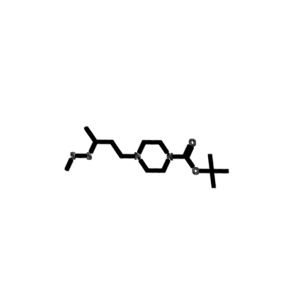 CSSC(C)CCN1CCN(C(=O)OC(C)(C)C)CC1